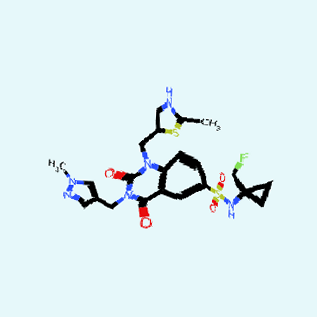 CC1NCC(Cn2c(=O)n(Cc3cnn(C)c3)c(=O)c3cc(S(=O)(=O)NC4(CF)CC4)ccc32)S1